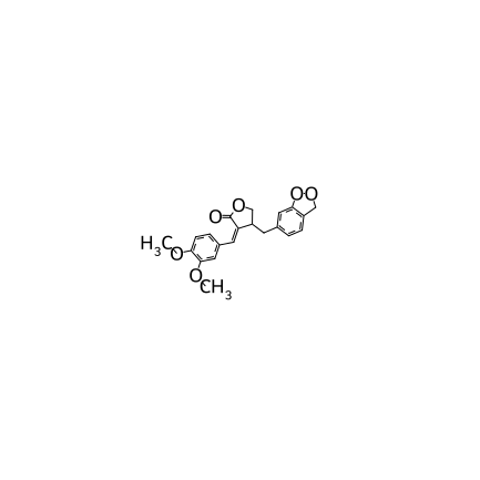 COc1ccc(/C=C2\C(=O)OCC2Cc2ccc3c(c2)OOC3)cc1OC